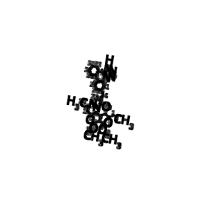 CCCCC(C(C(=O)OCC)C(=O)OCC)C1CCC(C)n2cc(Cc3ccc(-c4ccccc4-c4nnn[nH]4)cc3)c(=O)n21